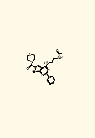 CC(=O)NCCNc1nc(-c2ccccc2)nc2[nH]c(C(=O)N3CCOCC3)cc12